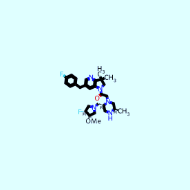 CO[C@H]1CN(C[C@H]2CN[C@H](C)CN2CC(=O)N2CC(C)(C)c3ncc(Cc4ccc(F)cc4)cc32)C[C@H]1F